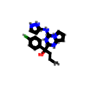 CCCC(O)(c1ccc(F)cc1)c1nc(Nc2ccn[nH]2)n2cccc2n1